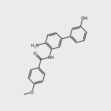 COc1ccc(C(=O)Nc2cc(-c3cccc(O)c3)ccc2N)cc1